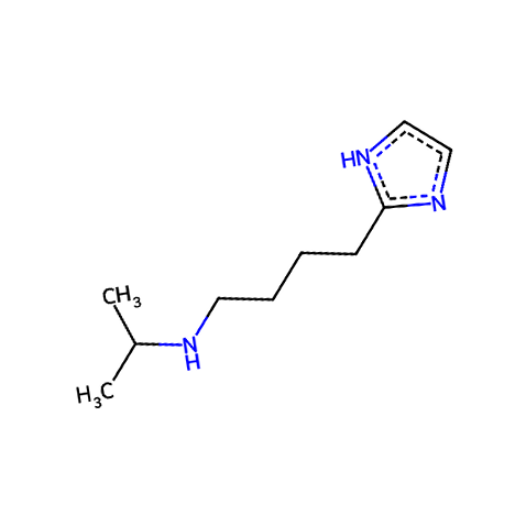 CC(C)NCCCCc1ncc[nH]1